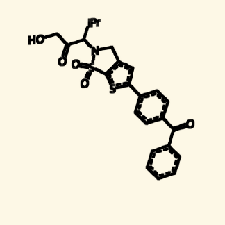 CC(C)C(C(=O)CO)N1Cc2cc(-c3ccc(C(=O)c4ccccc4)cc3)sc2S1(=O)=O